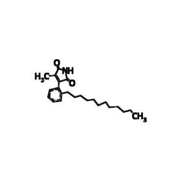 CCCCCCCCCCCCc1ccccc1C1=C(C)C(=O)NC1=O